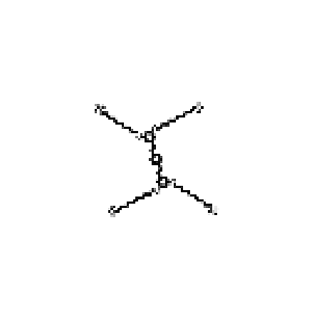 C[N+](C)(C)CCCCCCCCCCOc1cc(/C=C/c2ccc(/C=C/c3cc(OCCCCCCCCCC[N+](C)(C)C)cc(OCCCCCCCCCC[N+](C)(C)C)c3)cc2)cc(OCCCCCCCCCC[N+](C)(C)C)c1